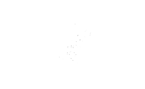 COc1nc(NC(=O)NS(=O)(=O)c2ccccc2CSC)nc(OC)n1